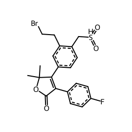 CC1(C)OC(=O)C(c2ccc(F)cc2)=C1c1ccc(C[SH](=O)=O)c(CCBr)c1